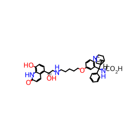 O=C(O)NC(c1ccccc1)(c1cccc(OCCCCCNC[C@H](O)c2ccc(O)c3[nH]c(=O)ccc23)c1)[C@H]1CN2CCC1CC2